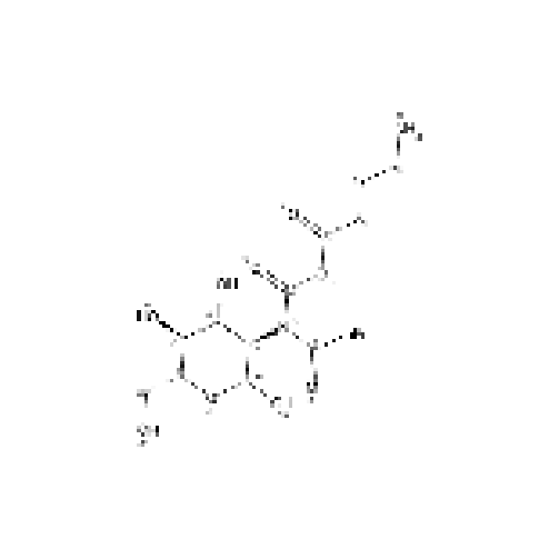 CCCC(=O)N(C(=O)OC(=O)CCCN)[C@H]1C(O)O[C@H](CO)[C@@H](O)[C@@H]1O